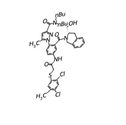 CCCCN(CCCC)C(=O)c1cc(C)n(-c2ccc(NC(=O)CSc3cc(C)c(Cl)cc3Cl)cc2C(=O)N2Cc3ccccc3C[C@H]2CO)n1